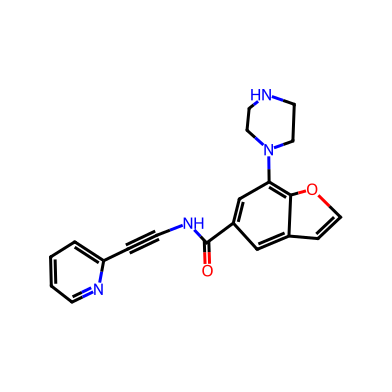 O=C(NC#Cc1ccccn1)c1cc(N2CCNCC2)c2occc2c1